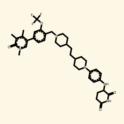 Cc1c(-c2ccc(CN3CCC(CCC4CCN(c5ccc(NC6CCC(=O)NC6=O)cc5)CC4)CC3)c(OC(F)(F)F)c2)cn(C)c(=O)c1C